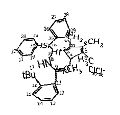 CC1=C(C)C(C)[C]([Hf+2]([NH]C(=O)c2ccccc2C(C)(C)C)[SiH](c2ccccc2)c2ccccc2)=C1C.[Cl-].[Cl-]